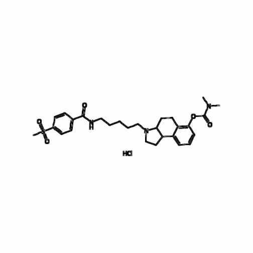 CN(C)C(=O)Oc1cccc2c1CCC1C2CCN1CCCCCNC(=O)c1ccc(S(C)(=O)=O)cc1.Cl